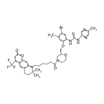 Cc1cnc(NC(=O)Nc2cc(Br)c(C)cc2OC[C@@H]2CN(C(=O)CCCCCN3c4cc5oc(=O)cc(C(F)(F)F)c5cc4CCC3(C)C)CCO2)cn1